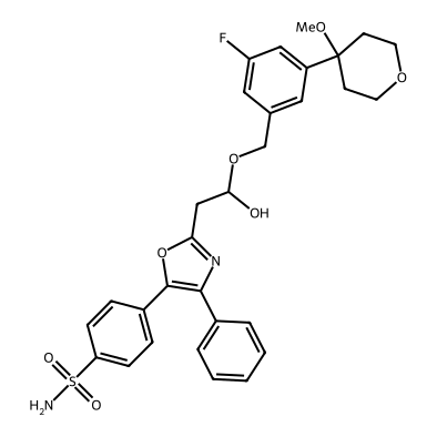 COC1(c2cc(F)cc(COC(O)Cc3nc(-c4ccccc4)c(-c4ccc(S(N)(=O)=O)cc4)o3)c2)CCOCC1